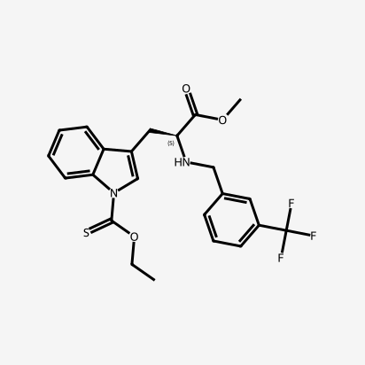 CCOC(=S)n1cc(C[C@H](NCc2cccc(C(F)(F)F)c2)C(=O)OC)c2ccccc21